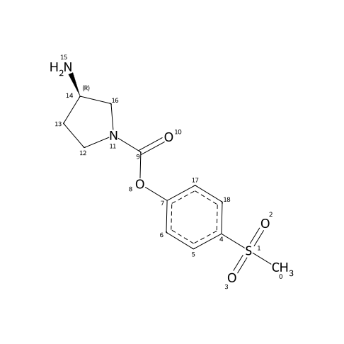 CS(=O)(=O)c1ccc(OC(=O)N2CC[C@@H](N)C2)cc1